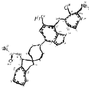 Cc1cc(N2CCC3(CC2)Cc2ccccc2[C@H]3N[S@+]([O-])C(C)(C)C)n2ccnc2c1Sc1ccnc(N)c1Cl